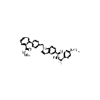 C[C@H](NC(=O)c1ccc2c(ccn2Cc2ccc(-c3ccccc3C(=O)OC(C)(C)C)cc2)c1)c1ccc([N+](=O)[O-])cc1